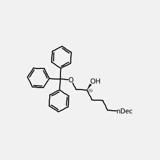 CCCCCCCCCCCCC[C@H](O)COC(c1ccccc1)(c1ccccc1)c1ccccc1